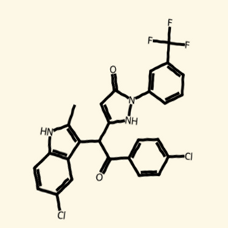 Cc1[nH]c2ccc(Cl)cc2c1C(C(=O)c1ccc(Cl)cc1)c1cc(=O)n(-c2cccc(C(F)(F)F)c2)[nH]1